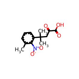 Cc1cccc(C(C)(C)CC(=O)C(=O)O)c1[N+](=O)[O-]